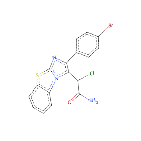 NC(=O)C(Cl)c1c(-c2ccc(Br)cc2)nc2sc3ccccc3n12